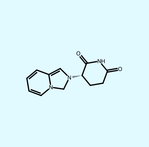 O=C1CC[C@H](N2C=C3C=CC=CN3C2)C(=O)N1